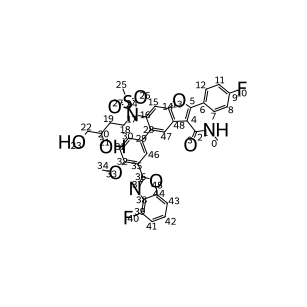 CNC(=O)c1c(-c2ccc(F)cc2)oc2cc(N(CCC(O)CO)S(C)(=O)=O)c(-c3ccc(OC)c(-c4nc5c(F)cccc5o4)c3)cc12